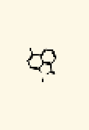 Cc1ccc2c3c(cccc13)C(=O)N2C